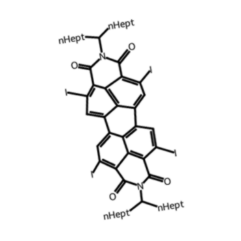 CCCCCCCC(CCCCCCC)N1C(=O)c2c(I)cc3c4cc(I)c5c6c(c(I)cc(c7cc(I)c(c2c37)C1=O)c64)C(=O)N(C(CCCCCCC)CCCCCCC)C5=O